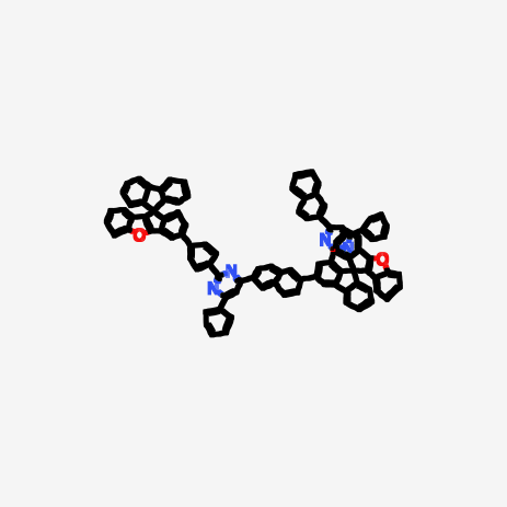 c1ccc(-c2cc(-c3ccc4cc(-c5cc(-c6nc(-c7ccccc7)cc(-c7ccc8ccccc8c7)n6)c6c(c5)-c5ccccc5C65c6ccccc6-c6oc7ccccc7c65)ccc4c3)nc(-c3ccc(-c4ccc5c(c4)-c4oc6ccccc6c4C54c5ccccc5-c5ccccc54)cc3)n2)cc1